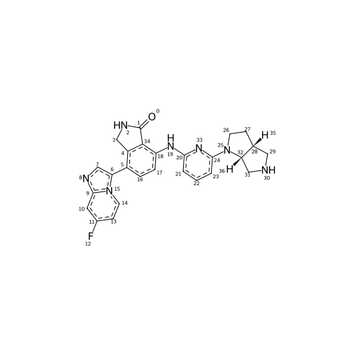 O=C1NCc2c(-c3cnc4cc(F)ccn34)ccc(Nc3cccc(N4CC[C@@H]5CNC[C@@H]54)n3)c21